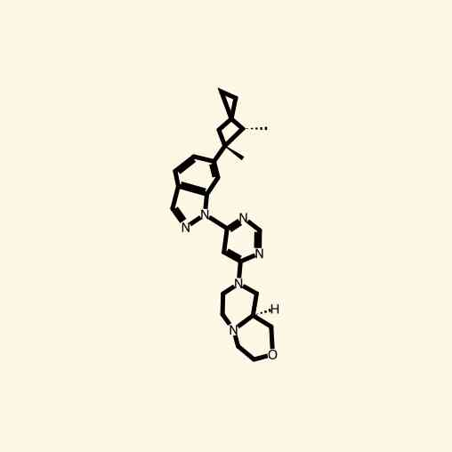 C[C@H]1C2(CC2)C[C@@]1(C)c1ccc2cnn(-c3cc(N4CCN5CCOC[C@@H]5C4)ncn3)c2c1